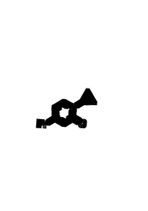 CC(C)c1ccn(C2CC2)c(=O)c1